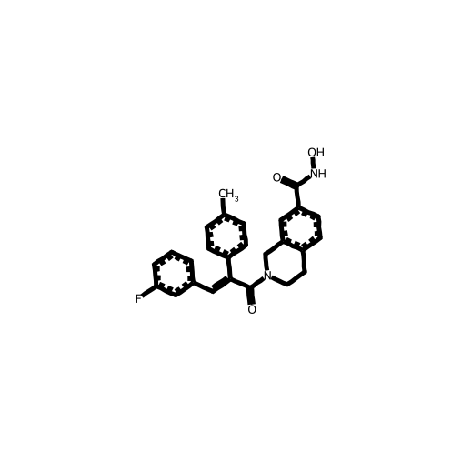 Cc1ccc(C(=Cc2cccc(F)c2)C(=O)N2CCc3ccc(C(=O)NO)cc3C2)cc1